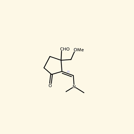 COCC1(C=O)CCC(=O)/C1=C\N(C)C